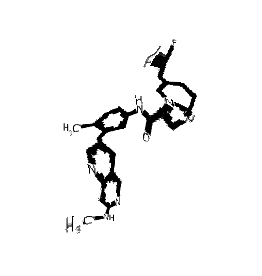 CNc1cc2ncc(-c3cc(NC(=O)c4cnc5n4CC(C(F)F)CC5)ccc3C)cc2cn1